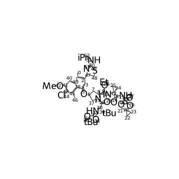 CC=C(/C=C(/O[C@@H]1C[C@@H](C(=O)N[C@]2(C(=O)NS(=O)(=O)OC3(C)CC3)C[C@H]2CC)N(C(=O)[C@@H](NC(=O)OC(C)(C)C)C(C)(C)C)C1)c1ccc(OC)c(Cl)c1C)C1CSC(NC(C)C)=N1